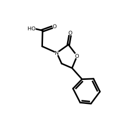 O=C(O)CN1CC(c2ccccc2)OC1=O